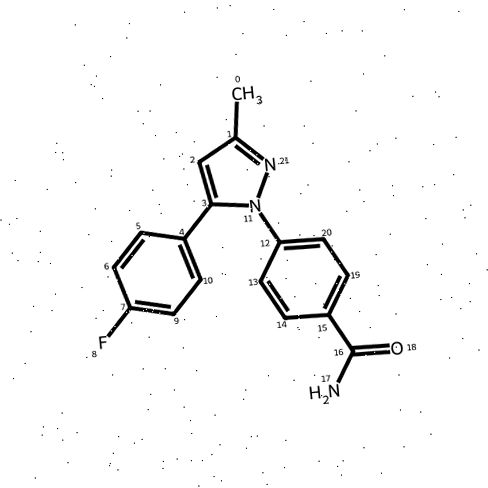 Cc1cc(-c2ccc(F)cc2)n(-c2ccc(C(N)=O)cc2)n1